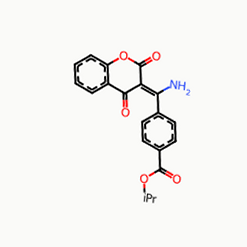 CC(C)OC(=O)c1ccc(/C(N)=C2/C(=O)Oc3ccccc3C2=O)cc1